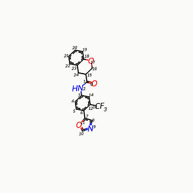 O=C(Nc1ccc(-c2cnco2)c(C(F)(F)F)c1)C1COc2ccccc2C1